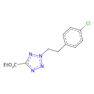 CCOC(=O)c1nnn(CCc2ccc(Cl)cc2)n1